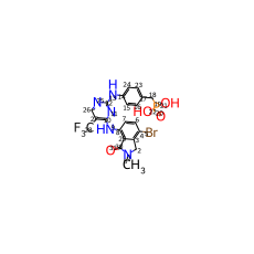 CN1Cc2c(Br)ccc(Nc3nc(Nc4ccc(CP(=O)(O)O)cc4)ncc3C(F)(F)F)c2C1=O